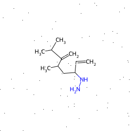 C=CC(CC(C)C(=C)C(C)C)NN